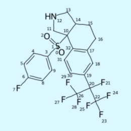 O=S(=O)(c1ccc(F)cc1)C12CNCC1CCc1cc(C(F)(C(F)(F)F)C(F)(F)F)ccc12